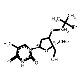 Cc1cn([C@H]2CC(O[SiH2]C(C)(C)C(C)C)[C@@](C=O)(CO)O2)c(=O)[nH]c1=O